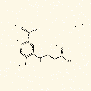 Cc1ccc([N+](=O)[O-])cc1NCCC(=O)O